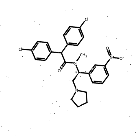 CN(C(=O)C(c1ccc(Cl)cc1)c1ccc(Cl)cc1)[C@H](CN1CCCC1)c1cccc([N+](=O)[O-])c1